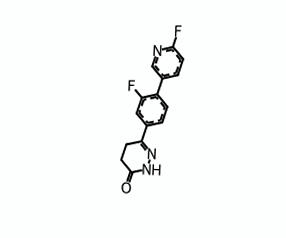 O=C1CCC(c2ccc(-c3ccc(F)nc3)c(F)c2)=NN1